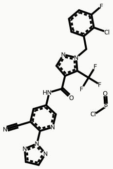 N#Cc1cc(NC(=O)c2cnn(Cc3cccc(F)c3Cl)c2C(F)(F)F)cnc1-n1nccn1.O=PCl